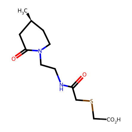 C[C@H]1CCN(CCNC(=O)CSCC(=O)O)C(=O)C1